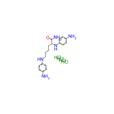 Cl.Cl.Cl.Cl.NC(=O)C(CCCCNc1ccc(N)cc1)Nc1ccc(N)cc1